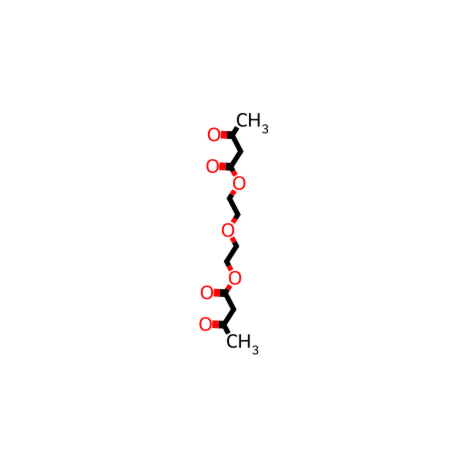 CC(=O)CC(=O)OCCOCCOC(=O)CC(C)=O